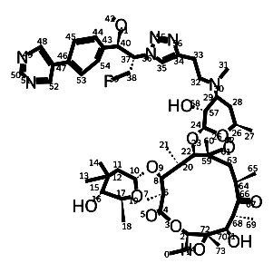 CC[C@H]1OC(=O)[C@H](C)[C@@H](O[C@H]2CC(C)(C)[C@@H](O)[C@H](C)O2)[C@H](C)[C@@H](O[C@@H]2O[C@H](C)C[C@H](N(C)CCc3cn([C@H](CF)[C@H](OC)c4ccc(-c5cncnc5)cc4)nn3)[C@H]2O)[C@](C)(OC)C[C@@H](C)C(=O)[C@H](C)[C@@H](O)[C@]1(C)O